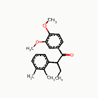 CCC(C(=O)c1ccc(OC)c(OC)c1)c1cccc(C)c1C